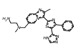 Cc1nc2ccc(CN(C)CCN)cn2c1-c1nc(-c2ccccc2)c(-c2nnc[nH]2)s1